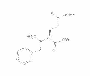 CCCCCC[S+]([O-])CC[C@@H](C(=O)OC)N(Cc1ccccc1)C(=O)O